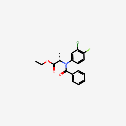 CCOC(=O)[C@H](C)N(C(=O)c1ccccc1)c1ccc(F)c(Cl)c1